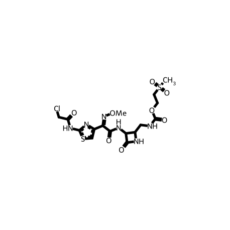 CON=C(C(=O)NC1C(=O)NC1CNC(=O)OCCS(C)(=O)=O)c1csc(NC(=O)CCl)n1